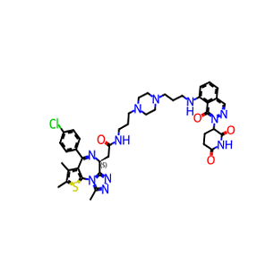 Cc1sc2c(c1C)C(c1ccc(Cl)cc1)=N[C@@H](CC(=O)NCCCN1CCN(CCCNc3cccc4cnn(C5CCC(=O)NC5=O)c(=O)c34)CC1)c1nnc(C)n1-2